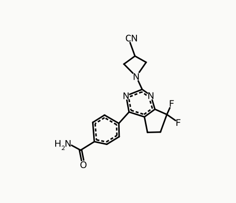 N#CC1CN(c2nc(-c3ccc(C(N)=O)cc3)c3c(n2)C(F)(F)CC3)C1